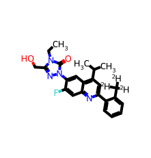 [2H]C([2H])([2H])c1ccccc1-c1cc(C(C)C)c2cc(-n3nc(CO)n(CC)c3=O)c(F)cc2n1